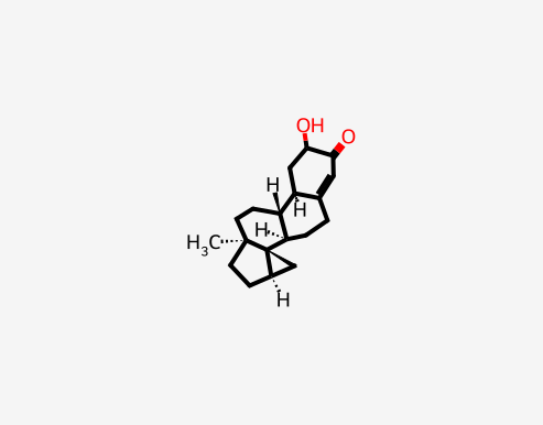 C[C@]12CC[C@H]3[C@@H](CCC4=CC(=O)C(O)C[C@@H]43)[C@@]13C[C@H]3CC2